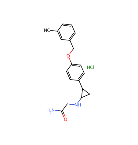 Cl.N#Cc1cccc(COc2ccc(C3CC3NCC(N)=O)cc2)c1